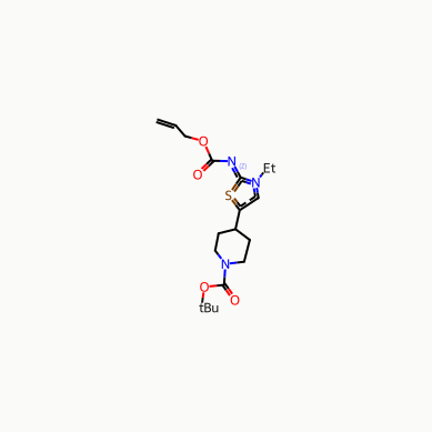 C=CCOC(=O)/N=c1\sc(C2CCN(C(=O)OC(C)(C)C)CC2)cn1CC